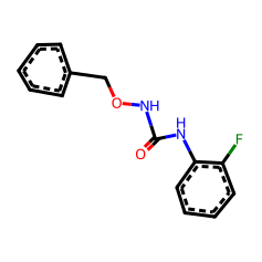 O=C(NOCc1ccccc1)Nc1ccccc1F